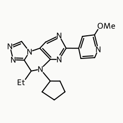 CCC1c2nncn2-c2cnc(-c3ccnc(OC)c3)nc2N1C1CCCC1